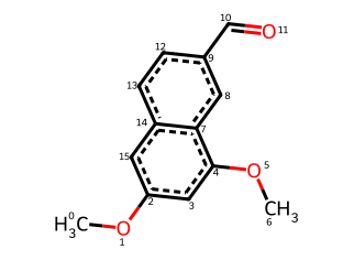 COc1cc(OC)c2cc(C=O)ccc2c1